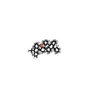 CC(C)(C)c1c2ccccc2c(-c2cccc3c2oc2cccc(-c4c5ccccc5c(-c5ccccc5)c5ccccc45)c23)c2ccccc12